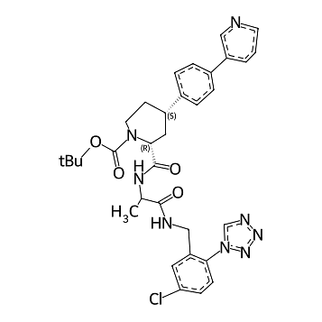 CC(NC(=O)[C@H]1C[C@@H](c2ccc(-c3cccnc3)cc2)CCN1C(=O)OC(C)(C)C)C(=O)NCc1cc(Cl)ccc1-n1cnnn1